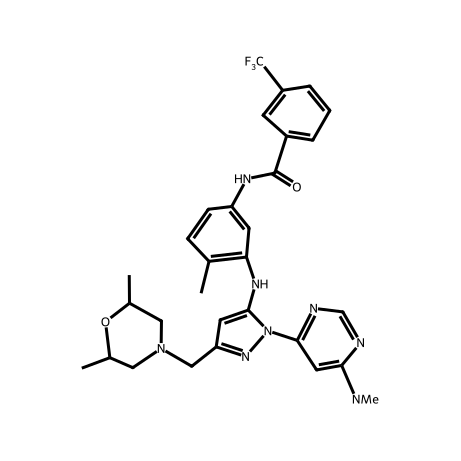 CNc1cc(-n2nc(CN3CC(C)OC(C)C3)cc2Nc2cc(NC(=O)c3cccc(C(F)(F)F)c3)ccc2C)ncn1